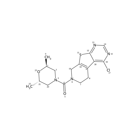 C[C@H]1CN(C(=O)N2CCc3c(sc4ncnc(Cl)c34)C2)C[C@H](C)O1